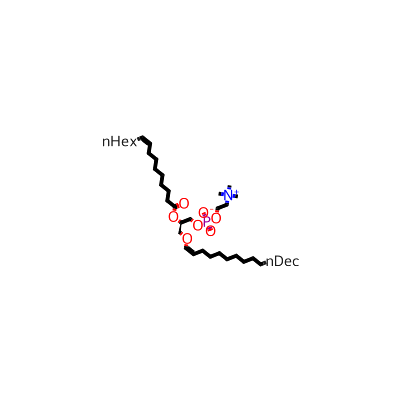 CCCCCC/C=C\CCCCCCCC(=O)O[C@H](CO/C=C\CCCCCCCCCCCCCCCCCC)COP(=O)([O-])OCC[N+](C)(C)C